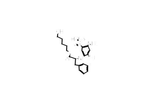 CCCCCCOC(=O)[C@@H](N)Cc1ccccc1.Cc1ccc(S(=O)(=O)O)cc1.N